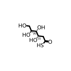 O=C(S)C[C@H](O)[C@@H](O)[C@H](O)CO